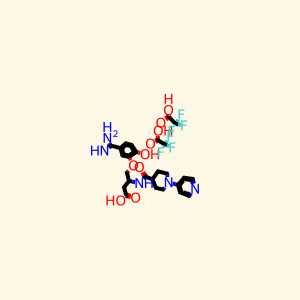 N=C(N)c1ccc(O)c(OCC(CC(=O)O)NC(=O)C2CCN(c3ccncc3)CC2)c1.O=C(O)C(F)(F)F.O=C(O)C(F)(F)F